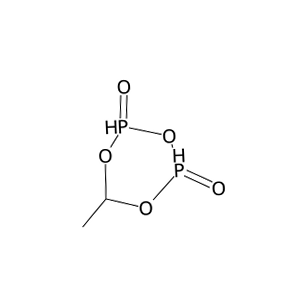 CC1O[PH](=O)O[PH](=O)O1